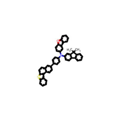 CC1(C)c2ccccc2-c2ccc(N(c3ccc(-c4ccc5c(ccc6sc7ccccc7c65)c4)cc3)c3ccc4oc5ccccc5c4c3)cc21